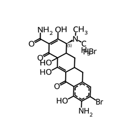 Br.CN(C)[C@@H]1C(O)=C(C(N)=O)C(=O)C2(O)C(O)=C3C(=O)c4c(cc(Br)c(N)c4O)CC3CC12